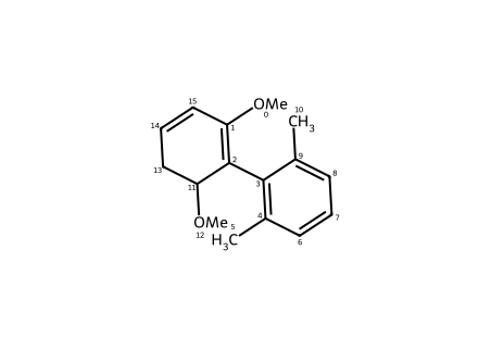 COC1=C(c2c(C)cccc2C)C(OC)CC=C1